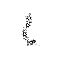 Cn1ncc2cc(NC3CCN(c4ccc(CN5CC(c6ccc7c(c6)CN(C6CCC(=O)NC6=O)C7=O)C5)cc4)CC3)ccc21